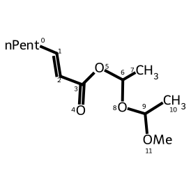 CCCCCC=CC(=O)OC(C)OC(C)OC